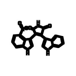 O=C1NC(=O)C(c2c[nH]c3cccc([N+](=O)[O-])c23)=C1c1c[nH]c2ccccc12